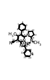 Cc1c(-c2ccccc2)c(N2CCCC2N(C)C)n2nc(-c3cccnc3)nc2c1C#N